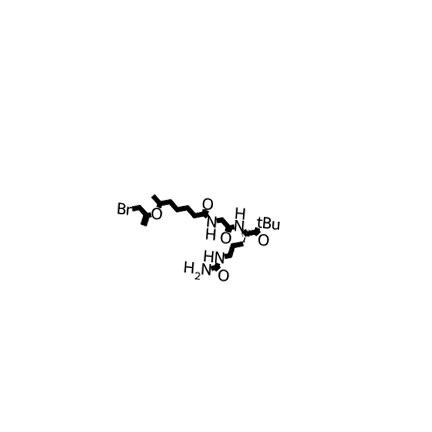 C=C(CBr)OC(C)CCCCC(=O)NCC(=O)N[C@@H](CCCNC(N)=O)C(=O)C(C)(C)C